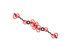 C=CC(=O)OCCCCCCOc1ccc(C(=O)O[C@H]2COC3C2OC[C@H]3OC(=O)c2ccc(OCCCCCCOC(=O)C=C)cc2)cc1